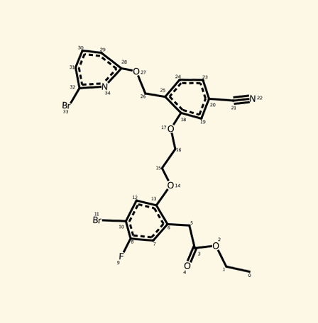 CCOC(=O)Cc1cc(F)c(Br)cc1OCCOc1cc(C#N)ccc1COc1cccc(Br)n1